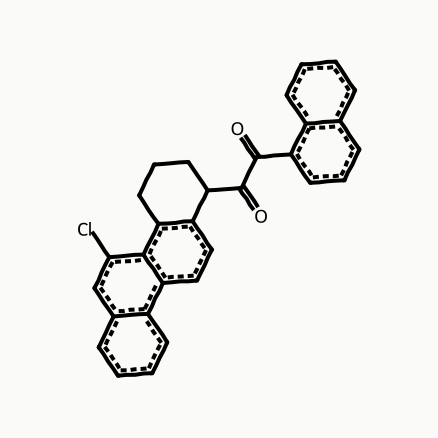 O=C(C(=O)C1CCCc2c1ccc1c2c(Cl)cc2ccccc21)c1cccc2ccccc12